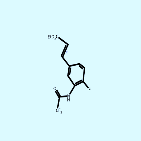 CCOC(=O)/C=C/c1ccc(F)c(NC(=O)C(F)(F)F)c1